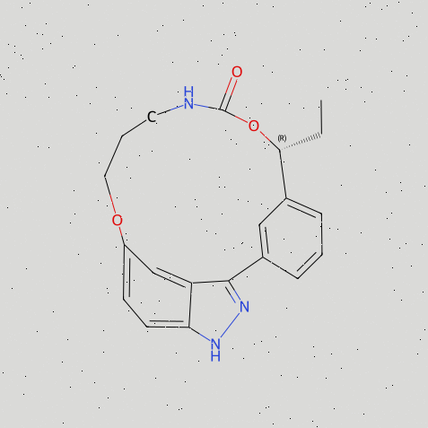 CC[C@H]1OC(=O)NCCCOc2ccc3[nH]nc(c3c2)-c2cccc1c2